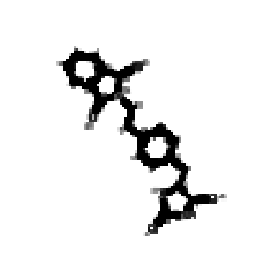 O=C1NC(=O)C(Cc2ccc(CCN3C(=O)c4ccccc4C3=O)cc2)S1